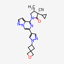 C[C@@H]1CN(c2nc(-c3cnn(C4CC5(COC5)C4)c3)cn3nccc23)C(=O)[C@]1(C#N)C1CC1